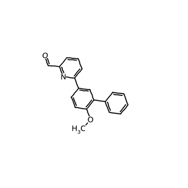 COc1ccc(-c2cccc(C=O)n2)cc1-c1ccccc1